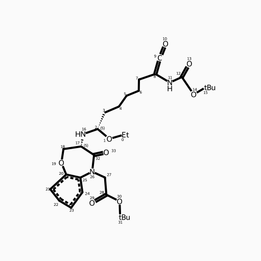 CCO[C@@H](CCCCCC(=C=O)NC(=O)OC(C)(C)C)N[C@H]1COc2ccccc2N(CC(=O)OC(C)(C)C)C1=O